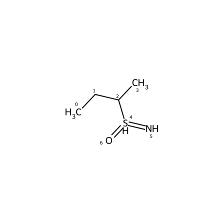 CCC(C)[SH](=N)=O